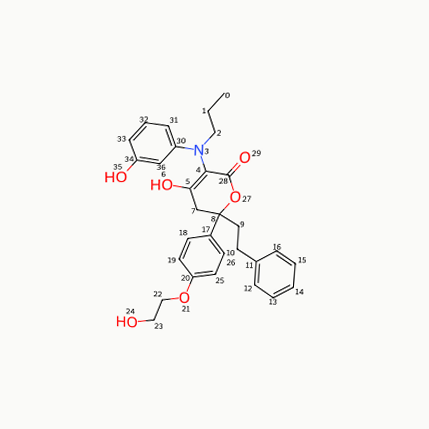 CCCN(C1=C(O)CC(CCc2ccccc2)(c2ccc(OCCO)cc2)OC1=O)c1cccc(O)c1